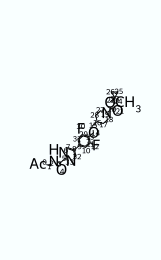 CC(=O)CNC(=O)c1ncc(-c2cc(F)c(OCC3CCN(C(=O)OC4(C)CC4)CC3)c(F)c2)cn1